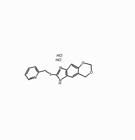 Cl.Cl.c1ccc(CSc2nc3cc4c(cc3[nH]2)COCO4)nc1